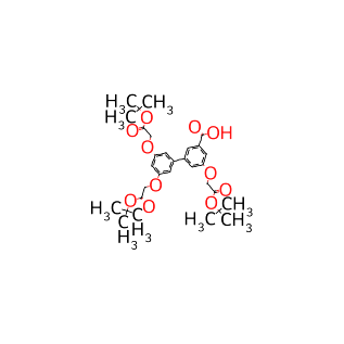 CC(C)(C)OC(=O)COc1cc(OCC(=O)OC(C)(C)C)cc(-c2cc(OCC(=O)OC(C)(C)C)cc(C(=O)O)c2)c1